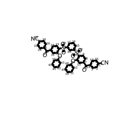 N#Cc1ccc(C(=O)c2ccc(S(=O)(=O)c3cccc(S(=O)(=O)c4ccc(C(=O)c5ccc(C#N)cc5)cc4Oc4ccccc4)c3)c(Oc3ccccc3)c2)cc1